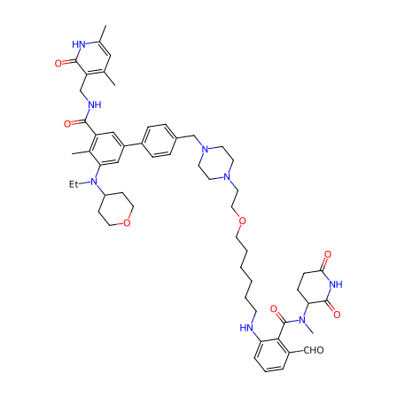 CCN(c1cc(-c2ccc(CN3CCN(CCOCCCCCCNc4cccc(C=O)c4C(=O)N(C)C4CCC(=O)NC4=O)CC3)cc2)cc(C(=O)NCc2c(C)cc(C)[nH]c2=O)c1C)C1CCOCC1